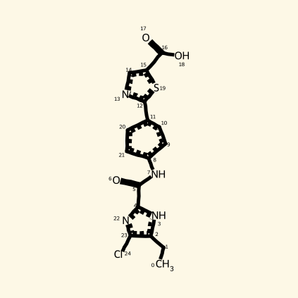 CCc1[nH]c(C(=O)Nc2ccc(-c3ncc(C(=O)O)s3)cc2)nc1Cl